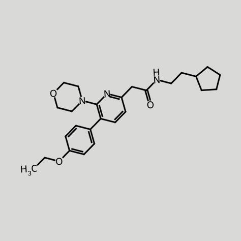 CCOc1ccc(-c2ccc(CC(=O)NCCC3CCCC3)nc2N2CCOCC2)cc1